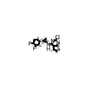 Fc1ccc([C@@H]2C[C@H]2Nc2nc(Cl)nc3sccc23)cc1F